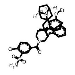 CCOc1cccc(C2(CCN3[C@@H]4CC[C@H]3CC(n3c(C)nc5ccccc53)C4)CCN(C(=O)c3ccc(Cl)c(S(N)(=O)=O)c3)CC2)c1